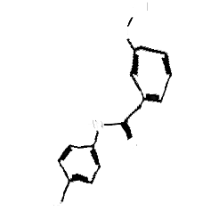 COc1cccc(C(=O)Nc2ccc(Br)cc2)c1